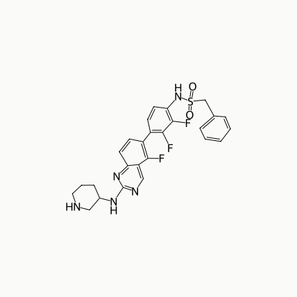 O=S(=O)(Cc1ccccc1)Nc1ccc(-c2ccc3nc(NC4CCCNC4)ncc3c2F)c(F)c1F